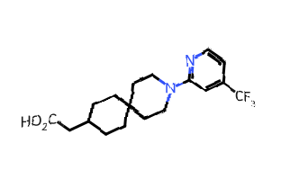 O=C(O)CC1CCC2(CC1)CCN(c1cc(C(F)(F)F)ccn1)CC2